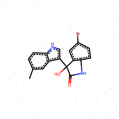 Cc1ccc2[nH]cc(C3(O)C(=O)Nc4ccc(Br)cc43)c2c1